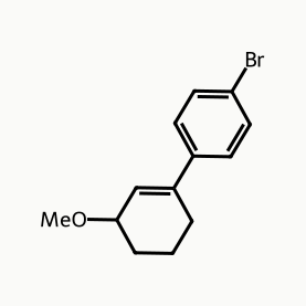 COC1C=C(c2ccc(Br)cc2)CCC1